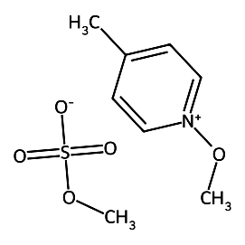 COS(=O)(=O)[O-].CO[n+]1ccc(C)cc1